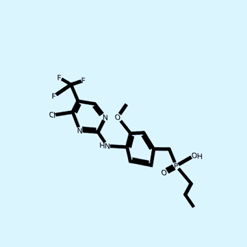 CCCP(=O)(O)Cc1ccc(Nc2ncc(C(F)(F)F)c(Cl)n2)c(OC)c1